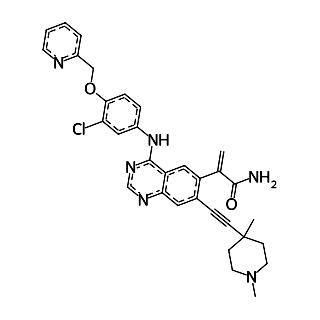 C=C(C(N)=O)c1cc2c(Nc3ccc(OCc4ccccn4)c(Cl)c3)ncnc2cc1C#CC1(C)CCN(C)CC1